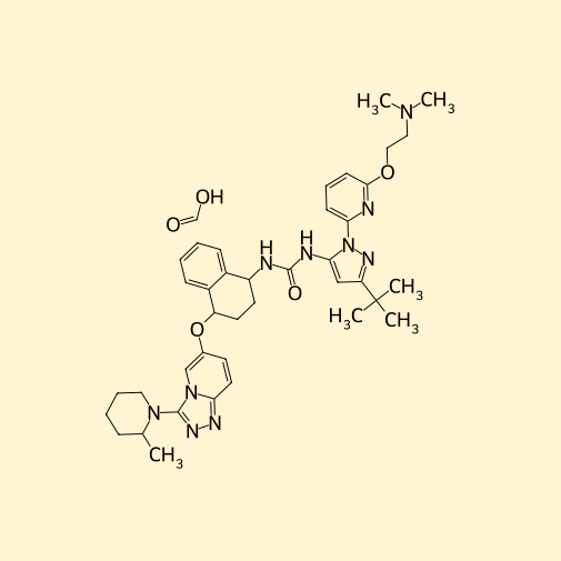 CC1CCCCN1c1nnc2ccc(OC3CCC(NC(=O)Nc4cc(C(C)(C)C)nn4-c4cccc(OCCN(C)C)n4)c4ccccc43)cn12.O=CO